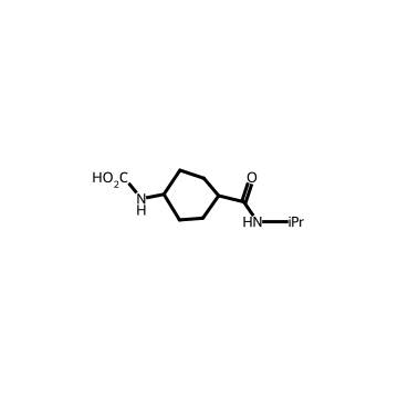 CC(C)NC(=O)C1CCC(NC(=O)O)CC1